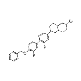 CCC1CCC2CC(c3ccc(-c4ccc(OCc5ccccc5)c(F)c4)c(F)c3)CCC2C1